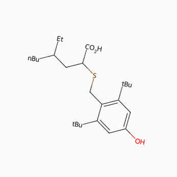 CCCCC(CC)CC(SCc1c(C(C)(C)C)cc(O)cc1C(C)(C)C)C(=O)O